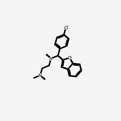 CN(C)CCN(C)C(c1ccc(Cl)cc1)c1cc2ccccc2o1